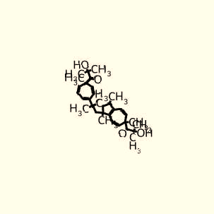 CC1CC(C)(CC(C)(C)C2=CC=CC(C)(C(=O)C(C)(C)O)C=C2)C2=C1C=CC(C)(C(=O)C(C)(C)O)C=C2